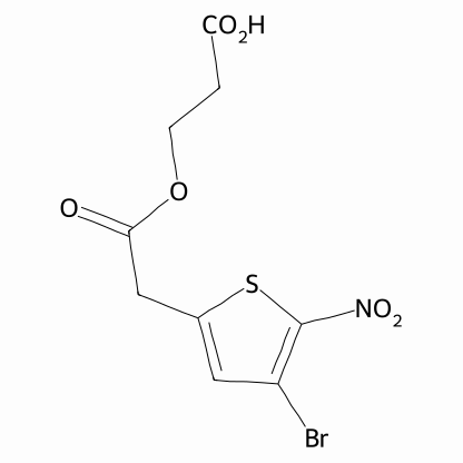 O=C(O)CCOC(=O)Cc1cc(Br)c([N+](=O)[O-])s1